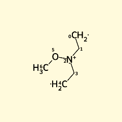 [CH2]C[N+](C[CH2])OC